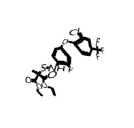 CCOC(=O)C(C)(SNc1ccc(Oc2ccc(C(F)(F)F)cc2Cl)cc1F)C(=O)OCC